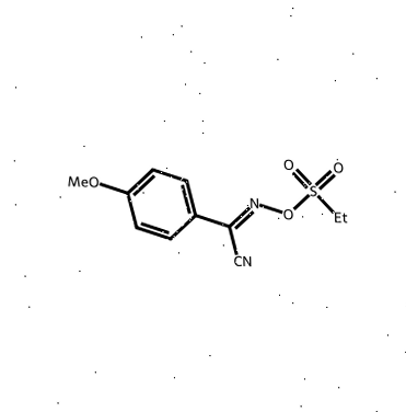 CCS(=O)(=O)ON=C(C#N)c1ccc(OC)cc1